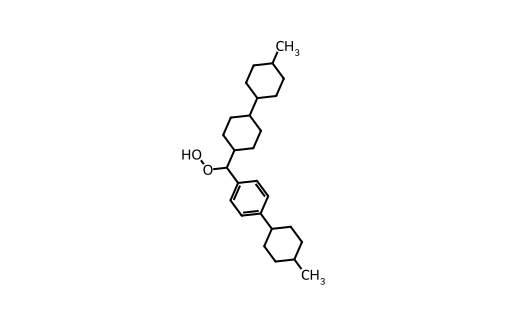 CC1CCC(c2ccc(C(OO)C3CCC(C4CCC(C)CC4)CC3)cc2)CC1